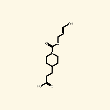 O=C(O)CCC1CCN(C(=O)OC/C=C/O)CC1